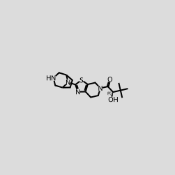 CC(C)(C)[C@@H](O)C(=O)N1CCc2nc(N3C4CCC3CNC4)sc2C1